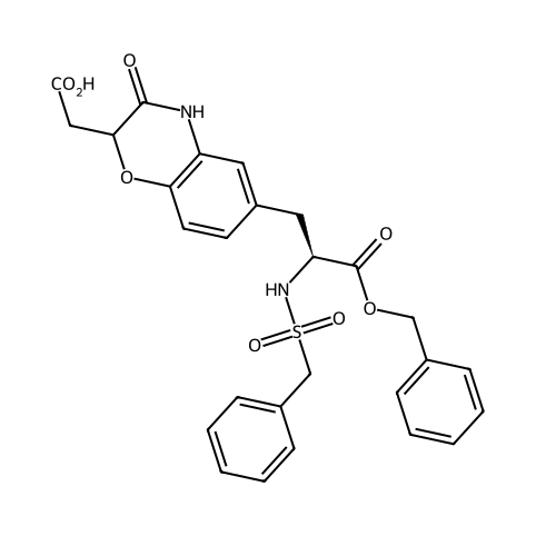 O=C(O)CC1Oc2ccc(C[C@H](NS(=O)(=O)Cc3ccccc3)C(=O)OCc3ccccc3)cc2NC1=O